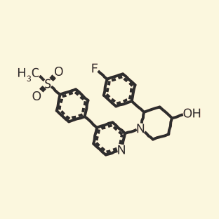 CS(=O)(=O)c1ccc(-c2ccnc(N3CCC(O)CC3c3ccc(F)cc3)c2)cc1